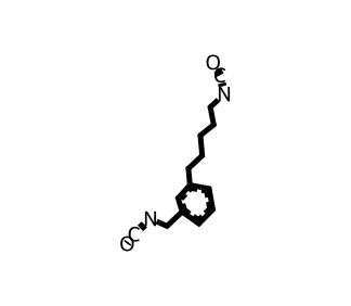 O=C=NCCCCCc1cccc(CN=C=O)c1